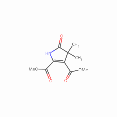 COC(=O)C1=C(C(=O)OC)C(C)(C)C(=O)N1